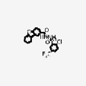 O=C(NNS(=O)(=O)c1cc(C(F)(F)F)ccc1Cl)c1ccc2oc3ccccc3c2c1